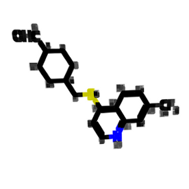 O=CC1CCC(CSc2ccnc3cc(C(F)(F)F)ccc23)CC1